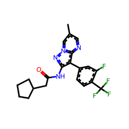 Cc1cnc2c(-c3ccc(C(F)(F)F)c(F)c3)c(NC(=O)CC3CCCC3)nn2c1